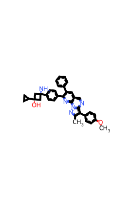 COc1ccc(-c2c(C)nn3c2ncc2cc(-c4ccccc4)c(-c4ccc([C@]5(N)C[C@@](O)(C6CC6)C5)cc4)nc23)cc1